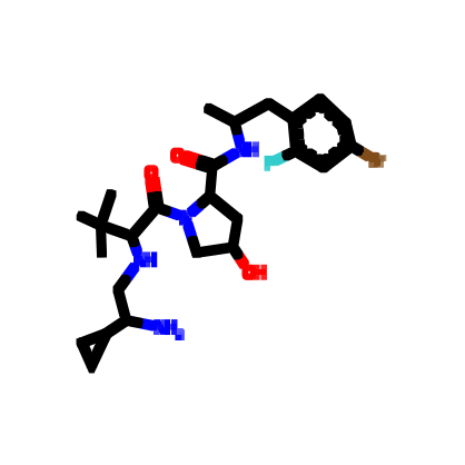 CC(Cc1ccc(Br)cc1F)NC(=O)C1CC(O)CN1C(=O)C(NCC(N)C1CC1)C(C)(C)C